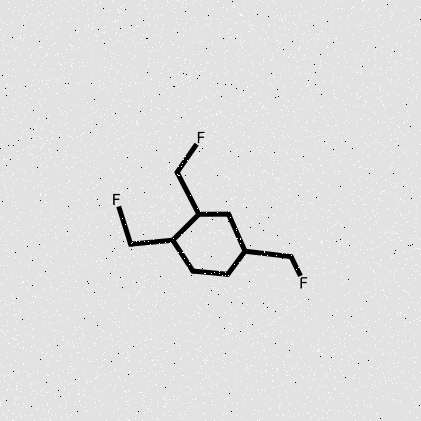 FCC1CCC(CF)C(CF)C1